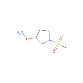 CS(=O)(=O)N1CCC(ON)C1